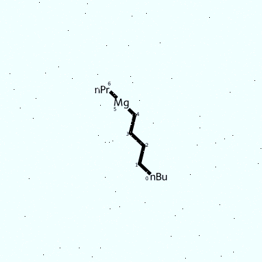 CCCCCCC[CH2][Mg][CH2]CC